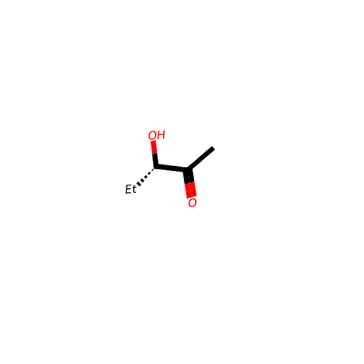 [CH2]C[C@H](O)C(C)=O